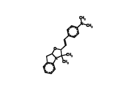 CN(C)c1ccc(C=CC2OC3Cc4ccccc4N3C2(C)C)cc1